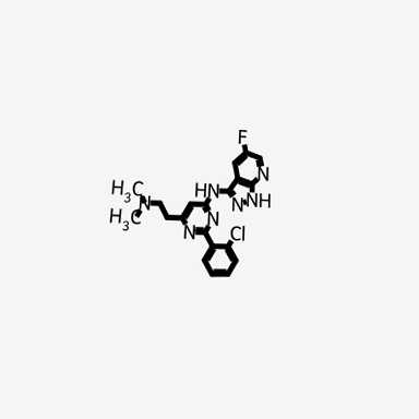 CN(C)CCc1cc(Nc2n[nH]c3ncc(F)cc23)nc(-c2ccccc2Cl)n1